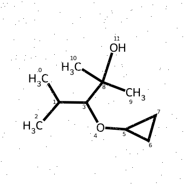 CC(C)C(OC1CC1)C(C)(C)O